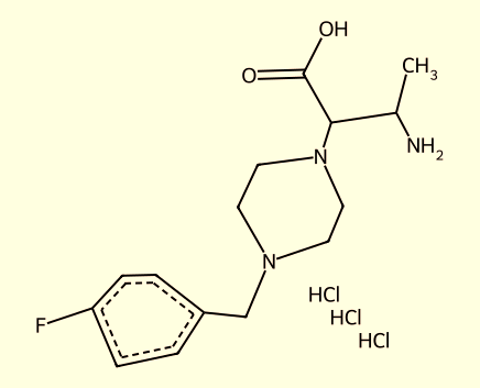 CC(N)C(C(=O)O)N1CCN(Cc2ccc(F)cc2)CC1.Cl.Cl.Cl